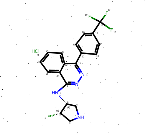 Cl.F[C@H]1CNC[C@H]1Nc1nnc(-c2ccc(C(F)(F)F)cc2)c2ccccc12